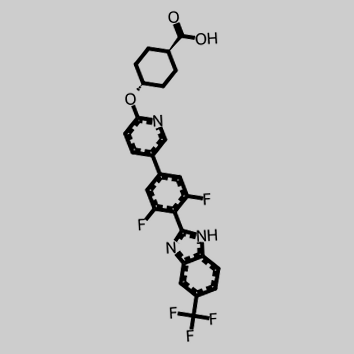 O=C(O)[C@H]1CC[C@H](Oc2ccc(-c3cc(F)c(-c4nc5cc(C(F)(F)F)ccc5[nH]4)c(F)c3)cn2)CC1